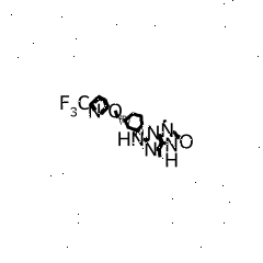 Cc1nc(N[C@@H]2CCC[C@@H](COc3ccc(C(F)(F)F)nc3)C2)nc2c1NC(=O)CN2C